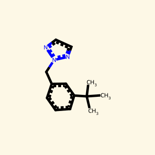 CC(C)(C)c1cccc(Cn2nccn2)c1